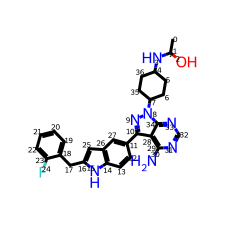 C[C](O)NC1CCC(n2nc(-c3ccc4[nH]c(Cc5ccccc5F)cc4c3)c3c(N)ncnc32)CC1